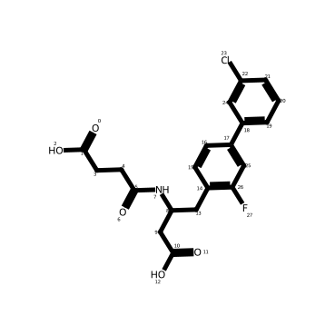 O=C(O)CCC(=O)NC(CC(=O)O)Cc1ccc(-c2cccc(Cl)c2)cc1F